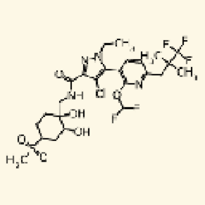 CCn1nc(C(=O)NC[C@@]2(O)CCC(S(C)(=O)=O)C[C@@H]2O)c(Cl)c1-c1ccc(CC(C)(C)C(F)(F)F)nc1OC(F)F